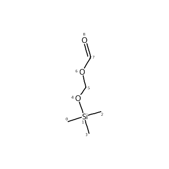 C[Si](C)(C)OCO[C]=O